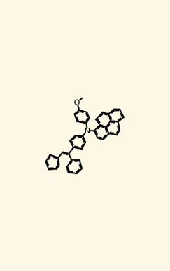 COc1ccc(N(c2ccc(C(=Cc3ccccc3)c3ccccc3)cc2)c2ccc3ccc4cccc5ccc2c3c45)cc1